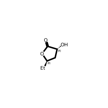 CC[C@@H]1C[C@@H](O)C(=O)O1